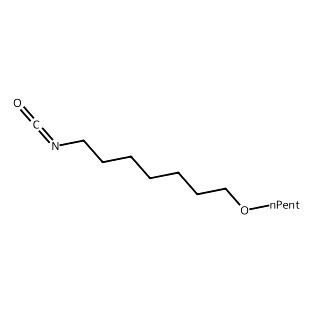 CCCCCOCCCCCCCN=C=O